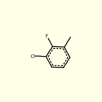 Cc1cccc(Cl)c1F